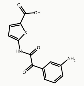 Nc1cccc(C(=O)C(=O)Nc2ccc(C(=O)O)s2)c1